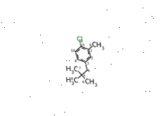 Cc1cc(CC(C)(C)C)ccc1Cl